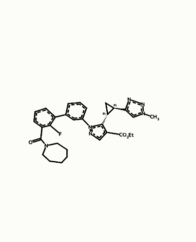 CCOC(=O)c1cnn(-c2cccc(-c3cccc(C(=O)N4CCCCCC4)c3F)c2)c1[C@@H]1C[C@H]1c1cn(C)nn1